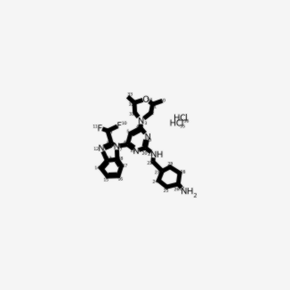 CC1CN(c2cc(-n3c(C(F)F)nc4ccccc43)nc(NCC3CCC(N)CC3)n2)CC(C)O1.Cl.Cl